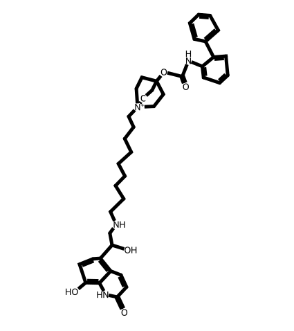 O=C(Nc1ccccc1-c1ccccc1)OC12CC[N+](CCCCCCCCCNCC(O)c3ccc(O)c4[nH]c(=O)ccc34)(CC1)CC2